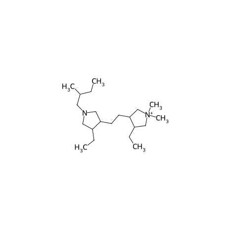 CCC(C)CN1CC(CC)C(CCC2C[N+](C)(C)CC2CC)C1